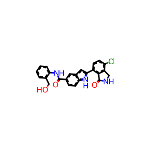 O=C(Nc1ccccc1CO)c1ccc2[nH]c(-c3ccc(Cl)c4c3C(=O)NC4)cc2c1